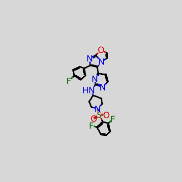 O=S(=O)(c1c(F)cccc1F)N1CCC(Nc2nccc(-c3c(-c4ccc(F)cc4)nc4occn34)n2)CC1